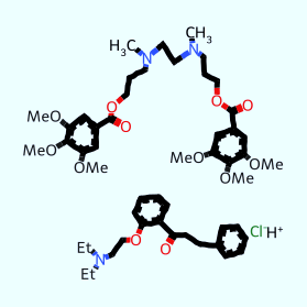 CCN(CC)CCOc1ccccc1C(=O)CCc1ccccc1.COc1cc(C(=O)OCCCN(C)CCN(C)CCCOC(=O)c2cc(OC)c(OC)c(OC)c2)cc(OC)c1OC.[Cl-].[H+]